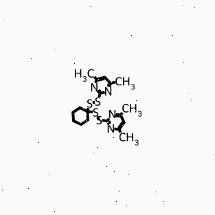 Cc1cc(C)nc(SSC2(SSc3nc(C)cc(C)n3)CCCCC2)n1